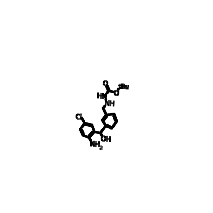 CC(C)(C)OC(=O)NNCc1cccc(C(O)c2cc(Cl)ccc2N)c1